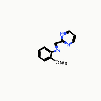 COc1ccccc1/N=C/c1ncccn1